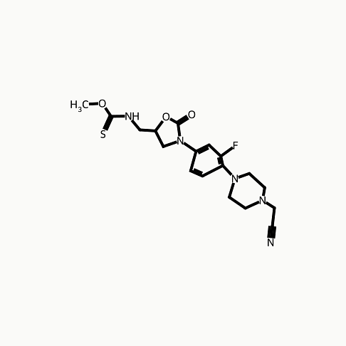 COC(=S)NCC1CN(c2ccc(N3CCN(CC#N)CC3)c(F)c2)C(=O)O1